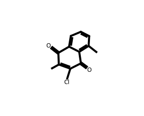 CC1=C(Cl)C(=O)c2c(C)cccc2C1=O